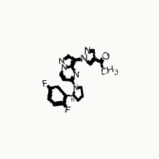 CC(=O)c1cnn(-c2cnn3ccc(N4CCC[C@H]4C4CC(F)=CC=C4F)nc23)c1